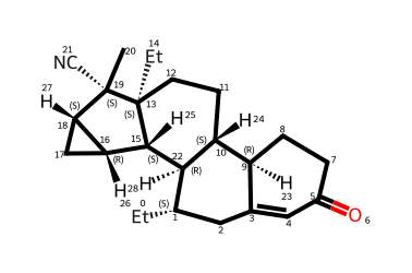 CC[C@H]1CC2=CC(=O)CC[C@@H]2[C@H]2CC[C@@]3(CC)[C@@H]([C@@H]4C[C@@H]4[C@]3(C)C#N)[C@H]12